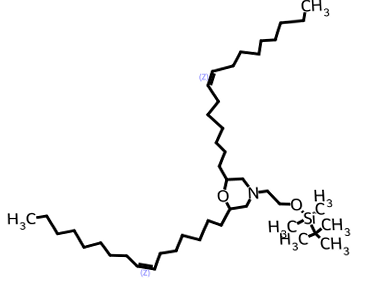 CCCCCCCC/C=C\CCCCCCC1CN(CCO[Si](C)(C)C(C)(C)C)CC(CCCCCC/C=C\CCCCCCCC)O1